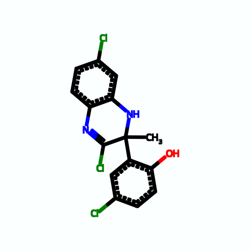 CC1(c2cc(Cl)ccc2O)Nc2cc(Cl)ccc2N=C1Cl